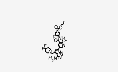 CCCOC(=O)N1C[C@H](F)[C@H](NC(=O)c2cc(-c3cc(CN4CCC(F)(F)CC4)c4c(N)ncnn34)cnc2OC)C1